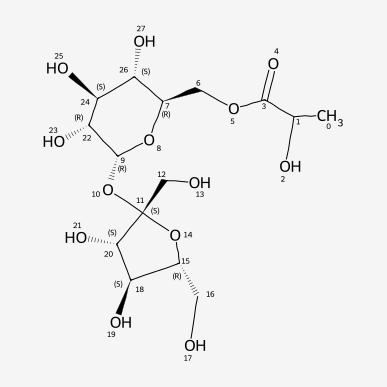 CC(O)C(=O)OC[C@H]1O[C@H](O[C@]2(CO)O[C@H](CO)[C@@H](O)[C@@H]2O)[C@H](O)[C@@H](O)[C@@H]1O